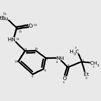 CCC(C)(C)C(=O)Nc1cccc(NC(=O)C(C)(C)C)c1